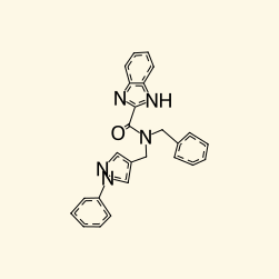 O=C(c1nc2ccccc2[nH]1)N(Cc1ccccc1)Cc1cnn(-c2ccccc2)c1